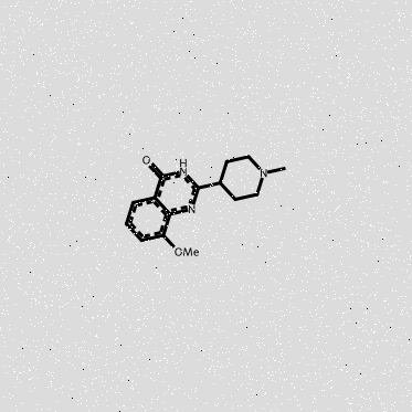 COc1cccc2c(=O)[nH]c(C3CCN(C)CC3)nc12